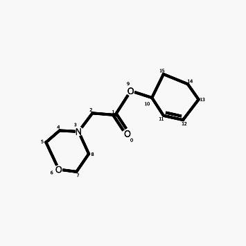 O=C(CN1CCOCC1)OC1C=CCCC1